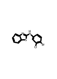 Clc1cc(Nc2nc3ccccc3s2)ccc1Br